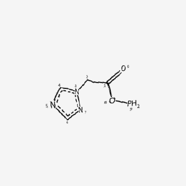 O=C(Cn1cncn1)OP